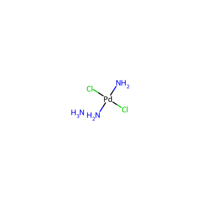 N.[NH2][Pd]([NH2])([Cl])[Cl]